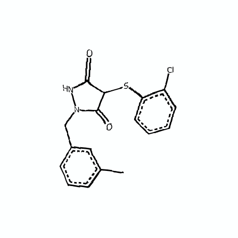 Cc1cccc(CN2NC(=O)C(Sc3ccccc3Cl)C2=O)c1